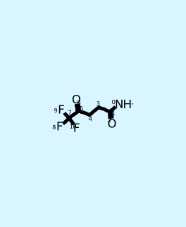 [NH]C(=O)CCC(=O)C(F)(F)F